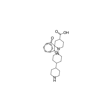 O=C(O)C1CCN(N2CCC(C3CCNCC3)CC2)C2(C1)C(=O)c1ccc(cc1)C2=O